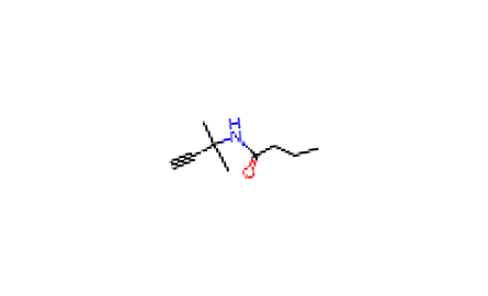 C#CC(C)(C)NC(=O)CCC